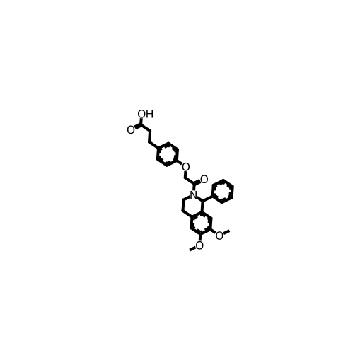 COc1cc2c(cc1OC)C(c1ccccc1)N(C(=O)COc1ccc(CCC(=O)O)cc1)CC2